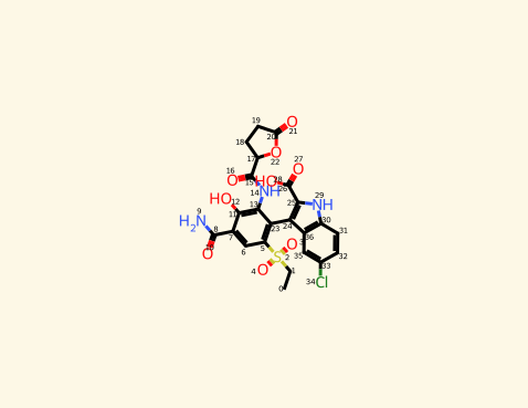 CCS(=O)(=O)c1cc(C(N)=O)c(O)c(NC(=O)C2CCC(=O)O2)c1-c1c(C(=O)O)[nH]c2ccc(Cl)cc12